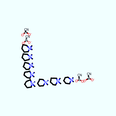 C[N+]1(C)CCCCC1.C[N+]1(C)CCCCC1.C[N+]1(C)CCCCC1.C[N+]1(C)CCCCC1.C[N+]1(C)CCCCC1.C[N+]1(C)CCCCC1.C[N+]1(C)CCCCC1.C[N+]1(C)CCCCC1.N#CB([O-])[O-].N#CB([O-])[O-].N#CB([O-])[O-].N#CB([O-])[O-]